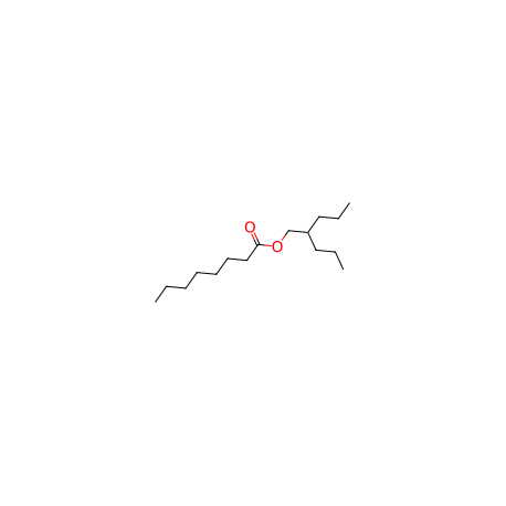 CCCCCCCC(=O)OCC(CCC)CCC